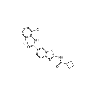 Cc1cccc(Cl)c1NC(=O)c1ccc2nc(NC(=O)C3CCC3)sc2c1